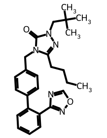 CCCCc1nn(CC(C)(C)C)c(=O)n1Cc1ccc(-c2ccccc2-c2ncon2)cc1